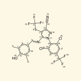 Cc1cc(C=Nc2c(SC(F)(F)F)c(C#N)nn2-c2c(Cl)cc(C(F)(F)F)cc2Cl)cc(C)c1O